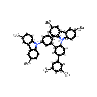 CC(C)(C)c1ccc2c(c1)c1cc(C(C)(C)C)ccc1n2-c1ccc(C#N)c(-c2cc(-c3cc(C(F)(F)F)cc(C(F)(F)F)c3)ccc2-n2c3ccc(C(C)(C)C)cc3c3cc(C(C)(C)C)ccc32)c1